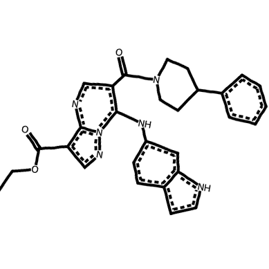 CCOC(=O)c1cnn2c(Nc3ccc4cc[nH]c4c3)c(C(=O)N3CCC(c4ccccc4)CC3)cnc12